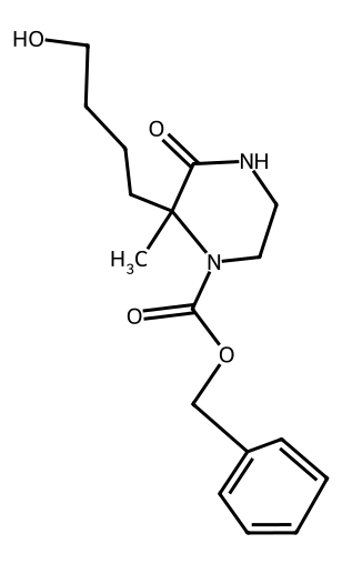 CC1(CCCCO)C(=O)NCCN1C(=O)OCc1ccccc1